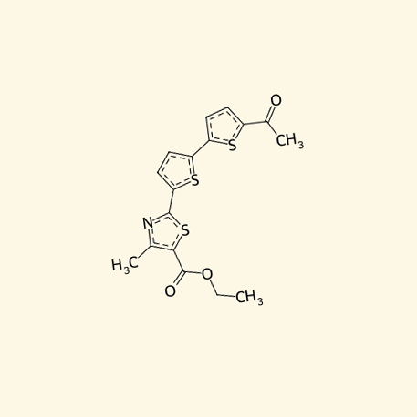 CCOC(=O)c1sc(-c2ccc(-c3ccc(C(C)=O)s3)s2)nc1C